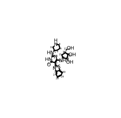 O=c1[nH]c(NC2CCCNC2)nc(N[C@@H]2C[C@H](CO)[C@@H](O)[C@H]2O)c1-c1nc2ccccc2s1